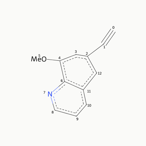 C#Cc1cc(OC)c2ncccc2c1